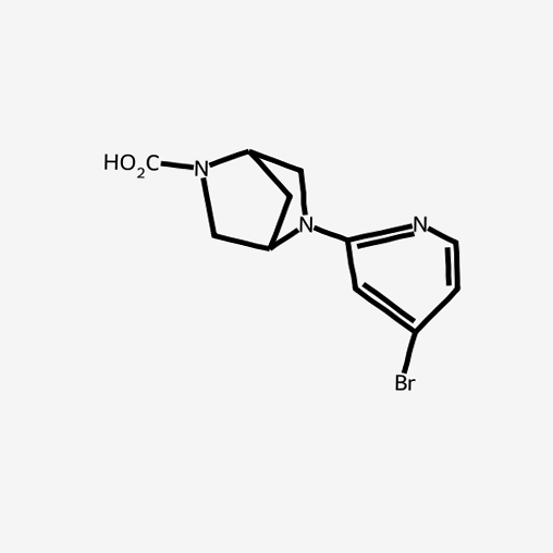 O=C(O)N1CC2CC1CN2c1cc(Br)ccn1